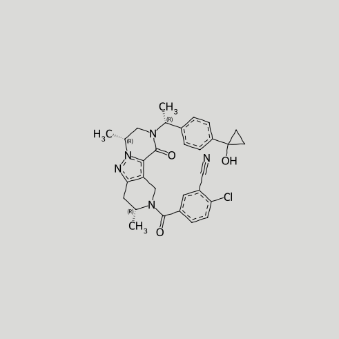 C[C@@H]1Cc2nn3c(c2CN1C(=O)c1ccc(Cl)c(C#N)c1)C(=O)N([C@H](C)c1ccc(C2(O)CC2)cc1)C[C@H]3C